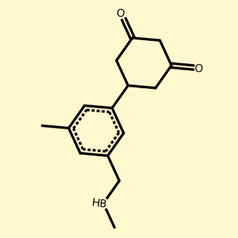 CBCc1cc(C)cc(C2CC(=O)CC(=O)C2)c1